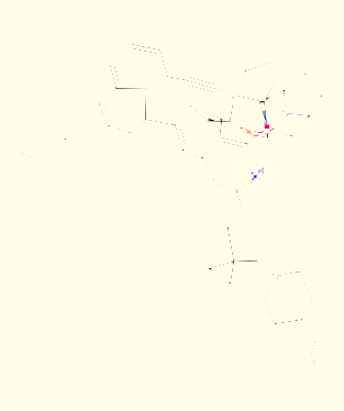 COCOc1cc(-c2ncc3c(N4CC5CCC(C4)N5C(=O)OC(C)(C)C)nc(OCC4(CN5CCC(CO)CC5)CC4)nc3c2F)c2c(C#C[Si](C(C)C)(C(C)C)C(C)C)cccc2c1